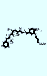 COCCCOc1cc(COC[C@H](N)[C@@H](O)C[C@H](C(=O)N[C@H](CO)Cc2ccccc2)C(C)C)ccc1C